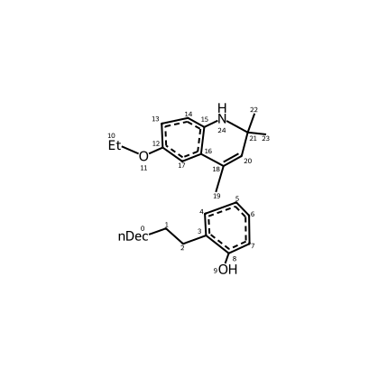 CCCCCCCCCCCCc1ccccc1O.CCOc1ccc2c(c1)C(C)=CC(C)(C)N2